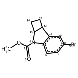 COC(=O)N1c2ccc(Br)cc2C2CCC21